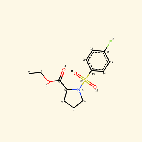 CCOC(=O)C1CCCN1S(=O)(=O)c1ccc(F)cc1